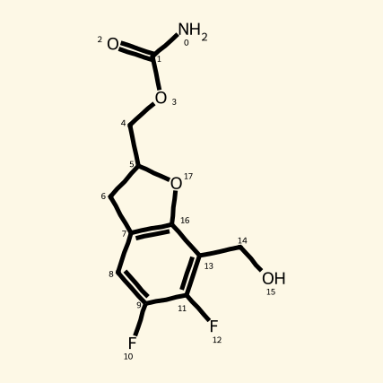 NC(=O)OCC1Cc2cc(F)c(F)c(CO)c2O1